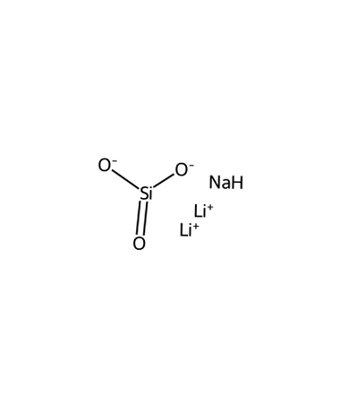 O=[Si]([O-])[O-].[Li+].[Li+].[NaH]